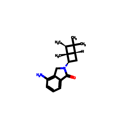 C[C@@H]1C(C)(C)[C@H]2C[C@H](N3Cc4c(N)cccc4C3=O)[C@]12C